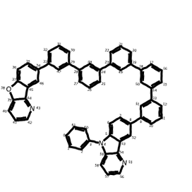 c1ccc(-n2c3ccc(-c4cccc(-c5cccc(-c6cccc(-c7cccc(-c8cccc(-c9ccc%10oc%11cccnc%11c%10c9)c8)c7)c6)c5)c4)cc3c3ncccc32)cc1